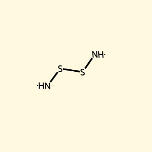 [NH]SS[NH]